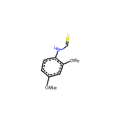 COc1ccc(NC=S)c(OC)c1